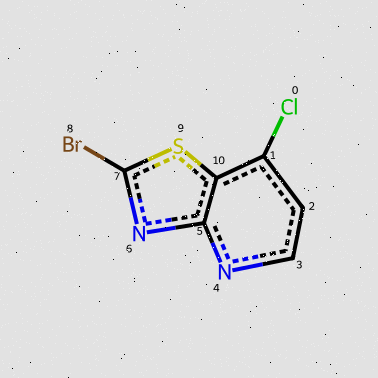 Clc1ccnc2nc(Br)sc12